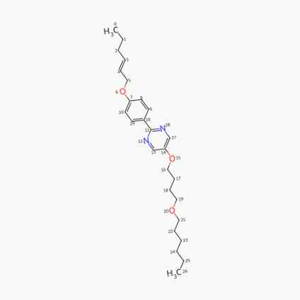 CCC/C=C/COc1ccc(-c2ncc(OCCCCOCCCCCC)cn2)cc1